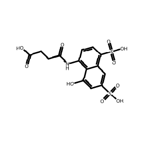 O=C(O)CCC(=O)Nc1ccc(S(=O)(=O)O)c2cc(S(=O)(=O)O)cc(O)c12